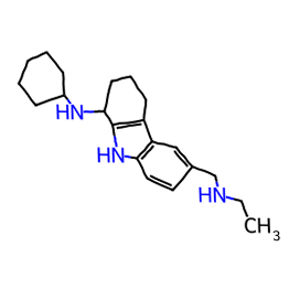 CCNCc1ccc2[nH]c3c(c2c1)CCCC3NC1CCCCC1